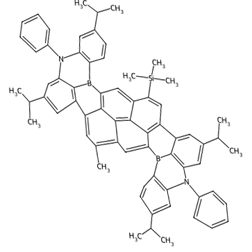 Cc1cc2c3c(cc4c([Si](C)(C)C)cc5c6c(cc1c3c46)B1c3ccc(C(C)C)cc3N(c3ccccc3)c3cc(C(C)C)cc-5c31)B1c3ccc(C(C)C)cc3N(c3ccccc3)c3cc(C(C)C)cc-2c31